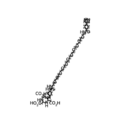 O=C(O)CC1CNC(CC(=O)O)C(Cc2ccc(NC(=S)NCCOCCOCCOCCOCCOCCOCCOCCOCCOCCOCCOCCNC(=O)c3ccc(-c4nncnn4)cc3)cc2)NC(CC(=O)O)CN1